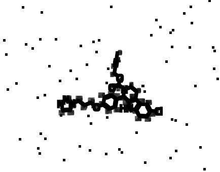 CC#CCOC(=O)N1CCc2c([nH]c3ccc(Cl)cc23)C1c1ccc(OCCCn2ccnn2)cc1